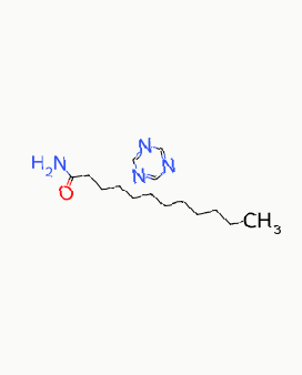 CCCCCCCCCCCC(N)=O.c1ncncn1